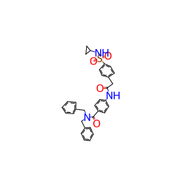 O=C(Cc1ccc(S(=O)(=O)NC2CC2)cc1)Nc1ccc(C(=O)N(Cc2ccccc2)Cc2ccccc2)cc1